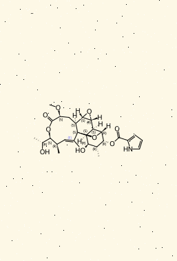 CO[C@H]1C[C@H]2[C@@H]3O[C@@H]3[C@H]3[C@H]4O[C@]2(/C(C)=C/[C@@H](C)[C@@H]([C@@H](C)O)OC1=O)[C@@H]3[C@H](O)[C@@H](C)[C@H]4OC(=O)c1ccc[nH]1